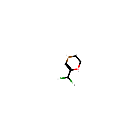 FC(F)C1=CSCCO1